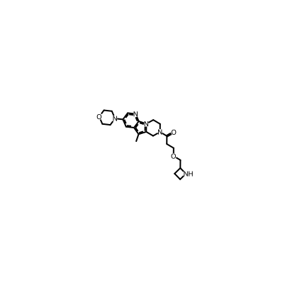 Cc1c2n(c3ncc(N4CCOCC4)cc13)CCN(C(=O)CCOCC1CCN1)C2